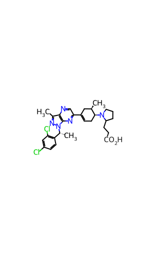 Cc1nn([C@H](C)c2ccc(Cl)cc2Cl)c2nc(C3=CC[C@H](N4CCCC4CCC(=O)O)[C@H](C)C3)cnc12